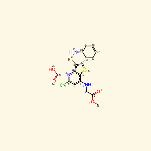 COC(=O)CNc1cc(Cl)nc2c(Br)c([C@H]3CC=CC[C@@H]3N)sc12.O=CO